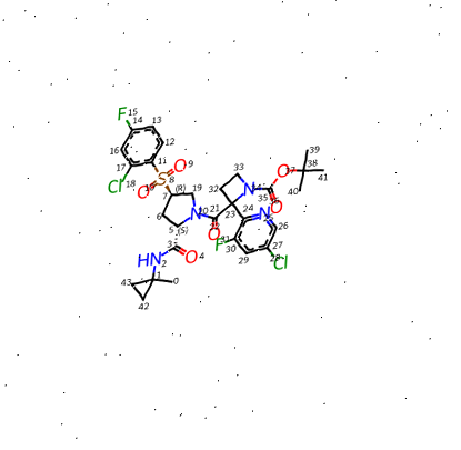 CC1(NC(=O)[C@@H]2C[C@@H](S(=O)(=O)c3ccc(F)cc3Cl)CN2C(=O)C2(c3ncc(Cl)cc3F)CCN2C(=O)OC(C)(C)C)CC1